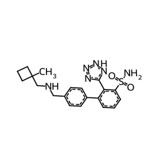 CC1(CNCc2ccc(-c3cccc(S(N)(=O)=O)c3-c3nnn[nH]3)cc2)CCC1